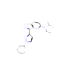 CC1COCCN1c1ccc2[nH]nc(-c3ccn(C4CCCCO4)n3)c2n1